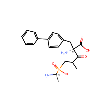 CC(CP(=O)(O)[C@H](C)N)C(=O)[C@@](N)(Cc1ccc(-c2ccccc2)cc1)C(=O)O